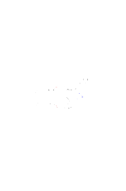 COC(=O)C(C(=O)OC)c1cc(OC)ncc1SC